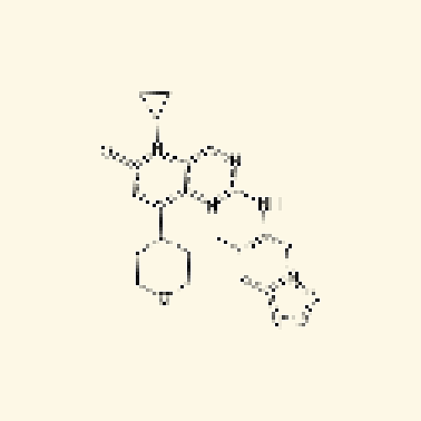 Cc1cc2ncnn2cc1Nc1ncc2c(n1)c(C1CCOCC1)cc(=O)n2C1CC1